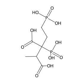 CC(C(=O)O)C(CCP(=O)(O)O)(C(=O)O)P(=O)(O)O